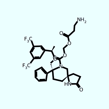 C[C@@H](OC[C@@]1(c2ccccc2)CC[C@]2(CCC(=O)N2)CN1C(=O)OCOC(=O)CCN)c1cc(C(F)(F)F)cc(C(F)(F)F)c1